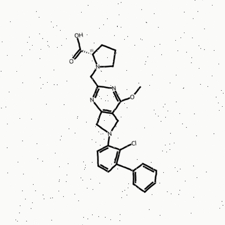 COc1nc(CN2CCC[C@H]2C(=O)O)nc2c1CN(c1cccc(-c3ccccc3)c1Cl)C2